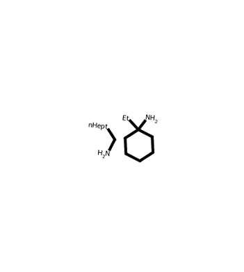 CCC1(N)CCCCC1.CCCCCCCCN